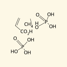 C.C=CC(=O)O.CC.O=P(O)(O)O.O=P(O)(O)O